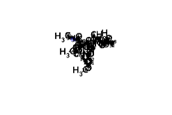 C=C[C@@H]1C[C@]1(NC(=O)[C@@H]1C[C@@H](Oc2nccc3cc(OC)ccc23)CN1C(=O)[C@H](CCC(=O)/C=C/CC)NC(=O)OC(C)(C)C)C(=O)NS(=O)(=O)C1CC1